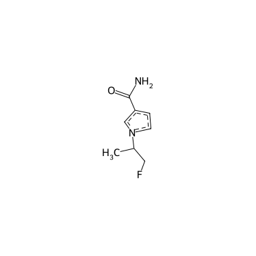 CC(CF)n1ccc(C(N)=O)c1